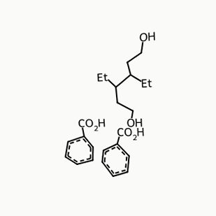 CCC(CCO)C(CC)CCO.O=C(O)c1ccccc1.O=C(O)c1ccccc1